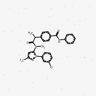 CC(C(=O)N(C)c1cc(C(F)(F)F)nn1-c1cccc(Cl)c1)c1ccc(C(=O)Nc2ccccc2)cc1